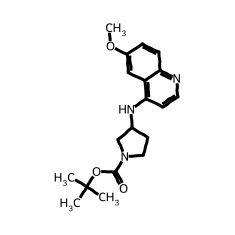 COc1ccc2nccc(NC3CCN(C(=O)OC(C)(C)C)C3)c2c1